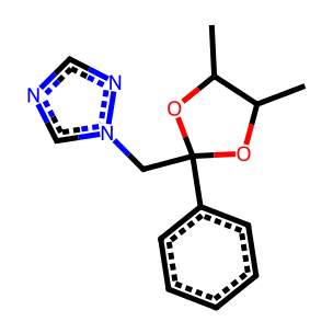 CC1OC(Cn2cncn2)(c2ccccc2)OC1C